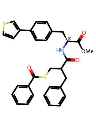 COC(=O)[C@H](Cc1ccc(-c2ccsc2)cc1)NC(=O)C(CSC(=O)c1ccccc1)Cc1ccccc1